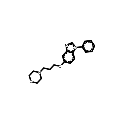 c1ccc(-n2cnc3cc(OCCCN4CCOCC4)ccc32)cc1